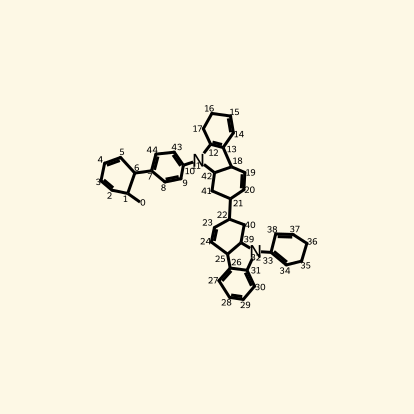 CC1C=CC=CC1c1ccc(N2C3=C(C=CCC3)C3C=CC(C4C=CC5c6ccccc6N(C6=CCCC=C6)C5C4)CC32)cc1